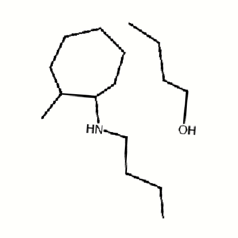 CCCCNC1CCCCCC1C.CCCCO